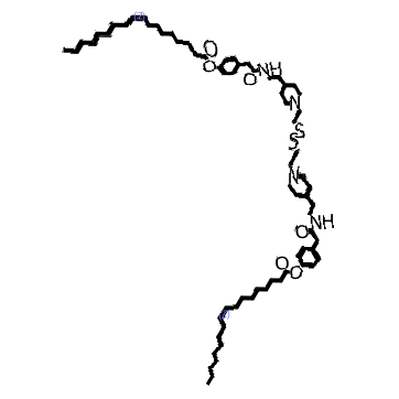 CCCCCCCC/C=C\CCCCCCCC(=O)Oc1ccc(CC(=O)NCCC2CCN(CCSSCCN3CCC(CCNC(=O)Cc4ccc(OC(=O)CCCCCCC/C=C\CCCCCCCC)cc4)CC3)CC2)cc1